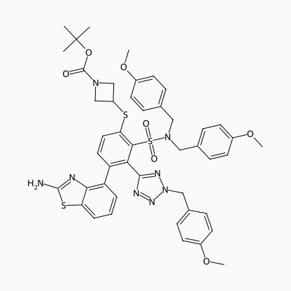 COc1ccc(CN(Cc2ccc(OC)cc2)S(=O)(=O)c2c(SC3CN(C(=O)OC(C)(C)C)C3)ccc(-c3cccc4sc(N)nc34)c2-c2nnn(Cc3ccc(OC)cc3)n2)cc1